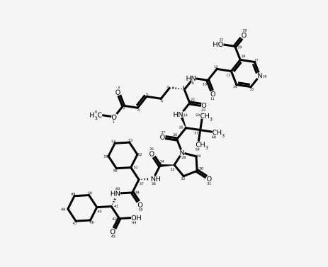 COC(=O)/C=C/CC[C@H](NC(=O)Cc1ccncc1C(=O)O)C(=O)N[C@H](C(=O)N1CC(=O)C[C@H]1C(=O)N[C@H](C(=O)N[C@H](C(=O)O)C1CCCCC1)C1CCCCC1)C(C)(C)C